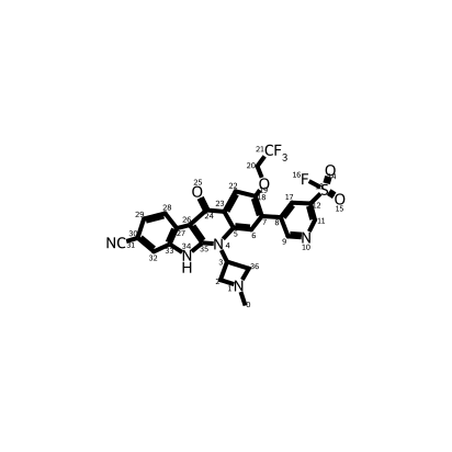 CN1CC(n2c3cc(-c4cncc(S(=O)(=O)F)c4)c(OCC(F)(F)F)cc3c(=O)c3c4ccc(C#N)cc4[nH]c32)C1